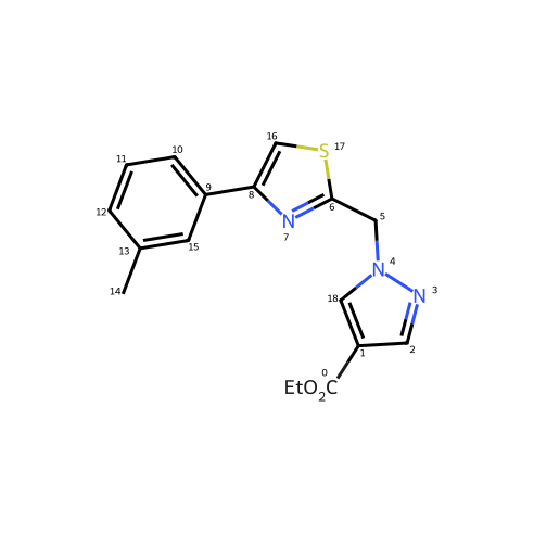 CCOC(=O)c1cnn(Cc2nc(-c3cccc(C)c3)cs2)c1